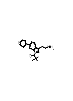 CC(C)(C)C(=O)n1cc(CCN)c2ccc(-c3ccncc3)cc21